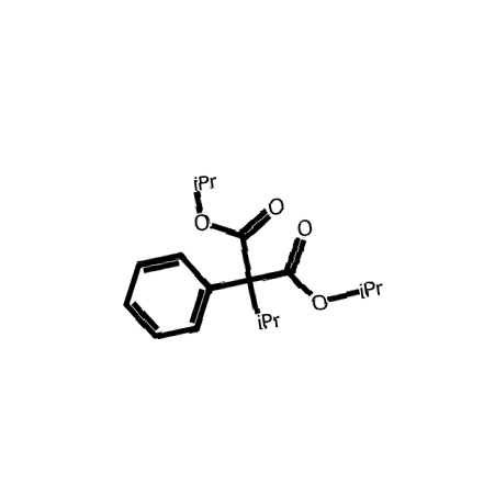 CC(C)OC(=O)C(C(=O)OC(C)C)(c1ccccc1)C(C)C